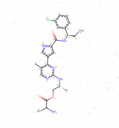 CC[C@H](COC(=O)C(N)C(C)C)Nc1ncc(C)c(-c2c[nH]c(C(=O)N[C@H](COC(C)=O)c3cccc(Cl)c3)c2)n1